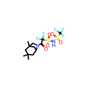 CC1(C)CC2CC(C)(CN2C(=O)C(F)(F)S(=O)(=O)NS(=O)(=O)C(F)(F)F)C1